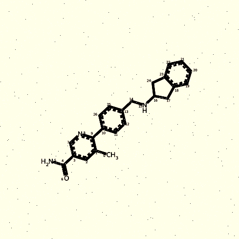 Cc1cc(C(N)=O)cnc1-c1ccc(CNC2Cc3ccccc3C2)cc1